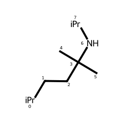 CC(C)CCC(C)(C)NC(C)C